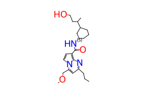 CCCc1cc(COC)n2ccc(C(=O)N[C@H]3CCCC(C(C)CCO)C3)c2n1